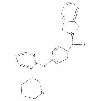 O=C(c1ccc(Oc2ncccc2C2CCCOC2)cc1)N1Cc2ccccc2C1